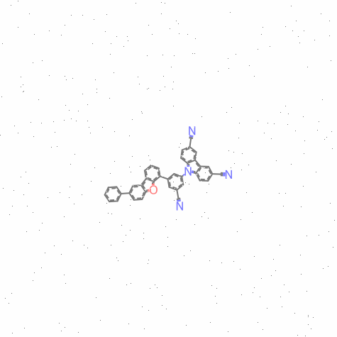 N#Cc1cc(-c2cccc3c2oc2ccc(-c4ccccc4)cc23)cc(-n2c3ccc(C#N)cc3c3cc(C#N)ccc32)c1